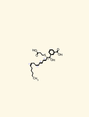 CCCCC/C=C\C\C=C/C=C/C=C/[C@H](SCCC(=O)O)[C@H](O)c1cccc(C(=O)O)c1